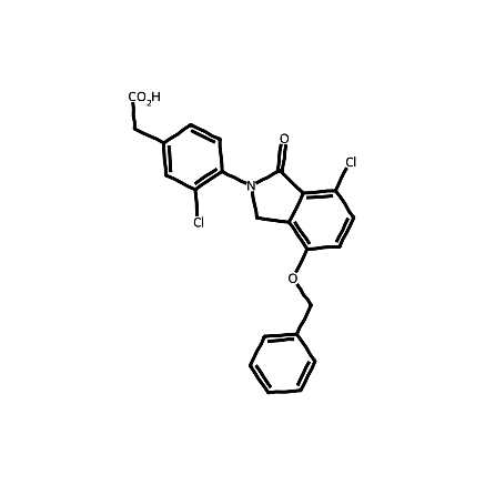 O=C(O)Cc1ccc(N2Cc3c(OCc4ccccc4)ccc(Cl)c3C2=O)c(Cl)c1